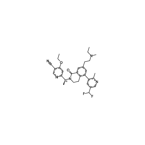 CCOc1cc([C@H](C)N2CCc3c(cc(CCN(C)CC)cc3-c3cc(C(F)F)cnc3C)C2=O)ncc1C#N